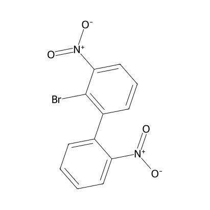 O=[N+]([O-])c1ccccc1-c1cccc([N+](=O)[O-])c1Br